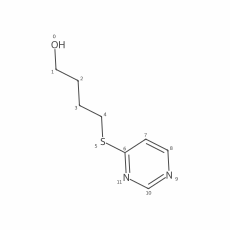 OCCCCSc1ccncn1